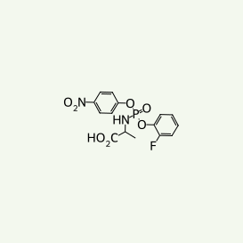 CC(NP(=O)(Oc1ccc([N+](=O)[O-])cc1)Oc1ccccc1F)C(=O)O